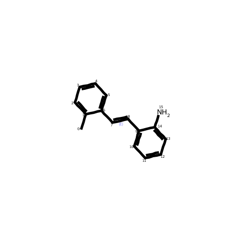 Cc1ccccc1/C=C/c1ccccc1N